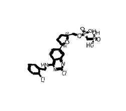 O=P(O)(O)CP(=O)(O)OC[C@@H]1CC[C@H](c2ccc3c(NCc4ccccc4Cl)nc(Cl)nc3c2)O1